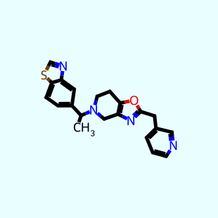 CC(c1ccc2scnc2c1)N1CCc2oc(Cc3cccnc3)nc2C1